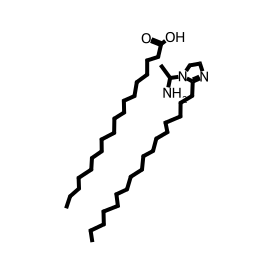 CCCCCCCCCCCCCCCCCC(=O)O.CCCCCCCCCCCCCCCCCC1=NCCN1C(C)N